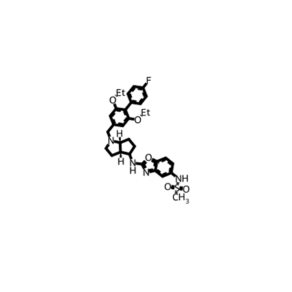 CCOc1cc(CN2CC[C@H]3C(Nc4nc5cc(NS(C)(=O)=O)ccc5o4)CC[C@H]32)cc(OCC)c1-c1ccc(F)cc1